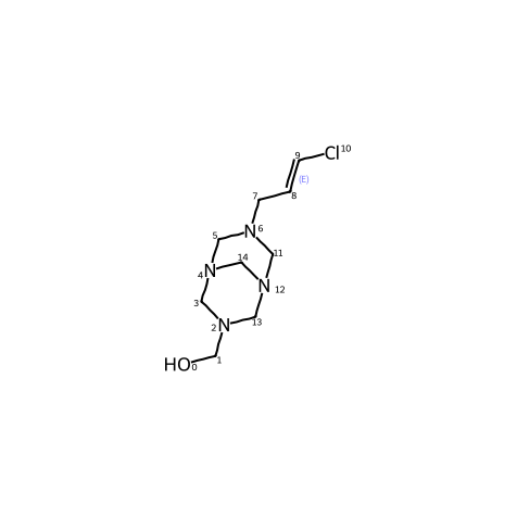 OCN1CN2CN(C/C=C/Cl)CN(C1)C2